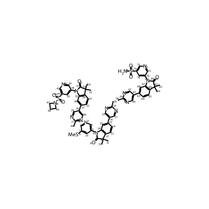 CSc1cncc(N2C(=O)C(C)(C)c3ccc(-c4cnc(C)nc4)cc32)c1.Cc1ncc(-c2ccc3c(c2)N(c2cncc(S(=O)(=O)N4CCC4)c2)C(=O)C3(C)C)cn1.Cc1ncc(-c2ccc3c(c2)N(c2cncc(S(N)(=O)=O)c2)C(=O)C3(C)C)cn1